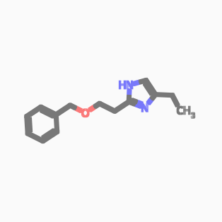 CCc1c[nH]c(CCOCc2ccccc2)n1